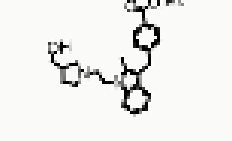 COC(=O)c1ccc(Cc2c(C)n(CCN3CCC(CO)C3)c3ccccc23)cc1